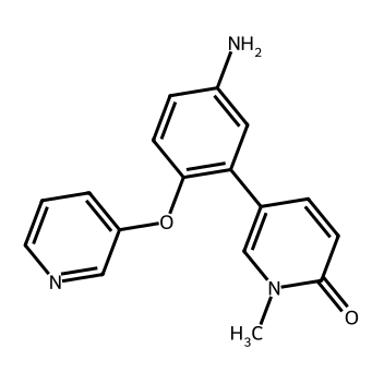 Cn1cc(-c2cc(N)ccc2Oc2cccnc2)ccc1=O